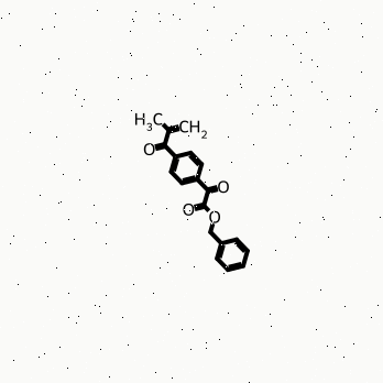 C=C(C)C(=O)c1ccc(C(=O)C(=O)OCc2ccccc2)cc1